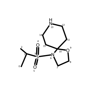 CC(C)S(=O)(=O)N1CCOC12CCNCC2